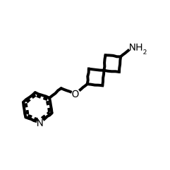 NC1CC2(C1)CC(OCc1cccnc1)C2